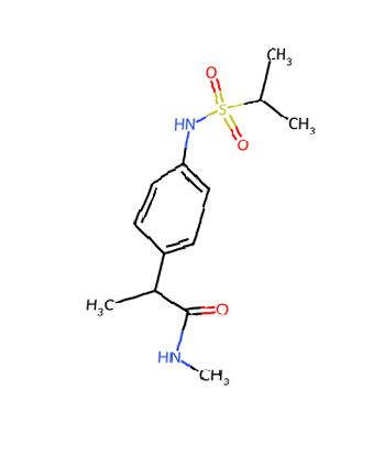 CNC(=O)C(C)c1ccc(NS(=O)(=O)C(C)C)cc1